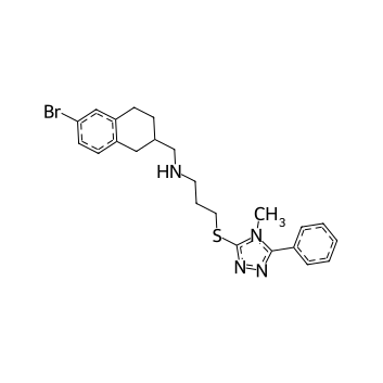 Cn1c(SCCCNCC2CCc3cc(Br)ccc3C2)nnc1-c1ccccc1